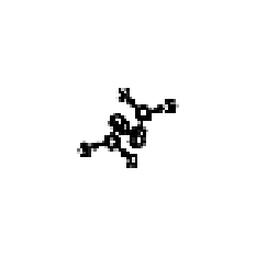 C[Si](C)(C)C#Cc1cc(C#C[Si](C)(C)C)cc(C23CC4CC(C2)CC(C25CC6CC(CC(c7cc(C#C[Si](C)(C)C)cc(C#C[Si](C)(C)C)c7)(C6)C2)C5)(C4)C3)c1